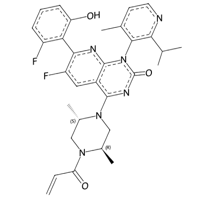 C=CC(=O)N1C[C@H](C)N(c2nc(=O)n(-c3c(C)ccnc3C(C)C)c3nc(-c4c(O)cccc4F)c(F)cc23)C[C@H]1C